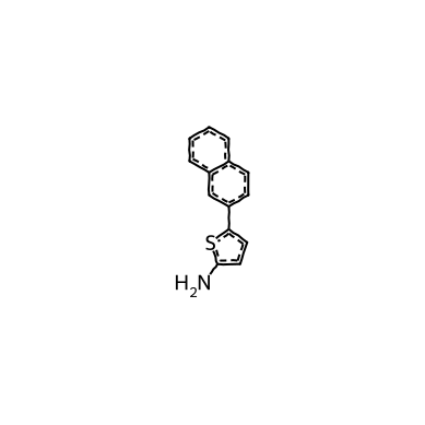 Nc1ccc(-c2ccc3ccccc3c2)s1